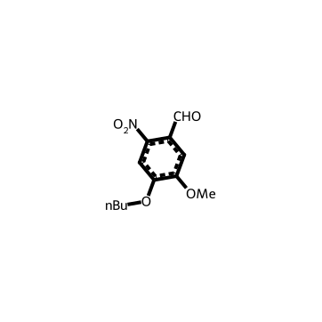 CCCCOc1cc([N+](=O)[O-])c(C=O)cc1OC